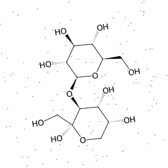 OC[C@H]1O[C@@H](O[C@H]2[C@H](O)[C@H](O)CO[C@@]2(O)CO)[C@H](O)[C@@H](O)[C@@H]1O